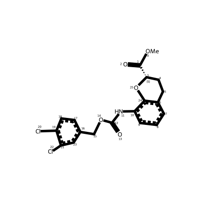 COC(=O)[C@@H]1CCc2cccc(NC(=O)OCc3ccc(Cl)c(Cl)c3)c2O1